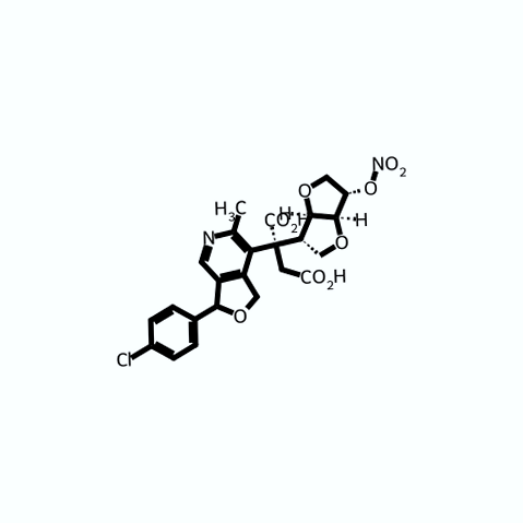 Cc1ncc2c(c1[C@@](CC(=O)O)(C(=O)O)[C@H]1CO[C@H]3[C@@H]1OC[C@@H]3O[N+](=O)[O-])COC2c1ccc(Cl)cc1